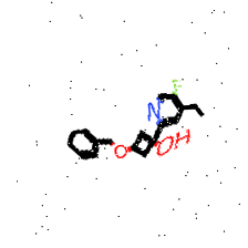 CCc1cc(C2(O)CC(OCc3ccccc3)C2)ncc1F